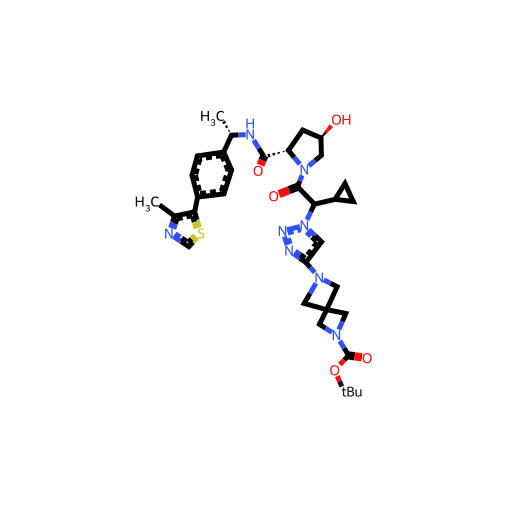 Cc1ncsc1-c1ccc([C@H](C)NC(=O)[C@@H]2C[C@@H](O)CN2C(=O)C(C2CC2)n2cc(N3CC4(CN(C(=O)OC(C)(C)C)C4)C3)nn2)cc1